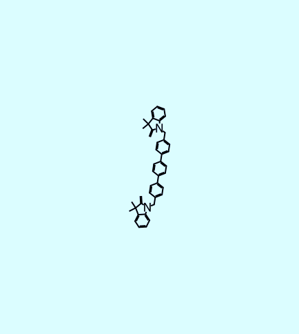 C=C1N(Cc2ccc(-c3ccc(-c4ccc(CN5C(=C)C(C)(C)c6ccccc65)cc4)cc3)cc2)c2ccccc2C1(C)C